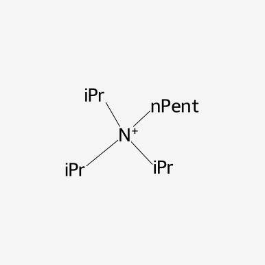 CCCCC[N+](C(C)C)(C(C)C)C(C)C